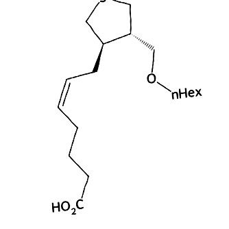 CCCCCCOC[C@H]1CSC[C@@H]1C/C=C\CCCC(=O)O